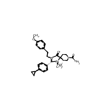 COc1ccc(CCN2C(=O)C3(CCN(C(N)=O)CC3)N(C)[C@@H]2c2ccc(C3CC3)cc2)cc1